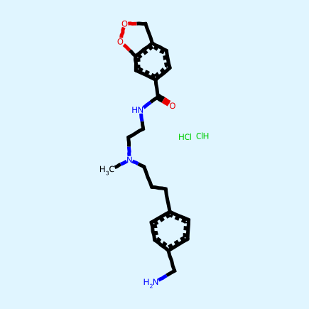 CN(CCCc1ccc(CN)cc1)CCNC(=O)c1ccc2c(c1)OOC2.Cl.Cl